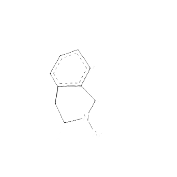 CC(=O)N1Cc2ccccc2C[C@H]1C